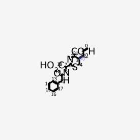 C=C/C=C1/CSC(C(NC(=O)Cc2ccccc2)C(=O)O)=NC1C(=O)O